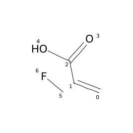 C=CC(=O)O.CF